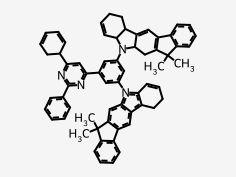 CC1(C)C2=C(C=C3C4CCC=CC4N(c4cc(-c5cc(C6C=CC=CC6)nc(-c6ccccc6)n5)cc(-n5c6c(c7cc8c(cc75)C(C)(C)c5ccccc5-8)CCC=C6)c4)C3C2)c2ccccc21